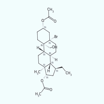 CC[C@H]1C[C@H](OC(C)=O)[C@@]2(C)CC[C@H]3[C@@H](CC[C@]4(Br)C[C@@H](OC(C)=O)CC[C@]34CO)[C@H]12